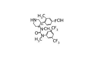 Cc1cc(F)ccc1[C@@H]1CNCC[C@H]1N(C)C(=O)N(C)c1cc(C(F)(F)F)cc(C(F)(F)F)c1.Cl